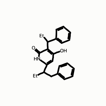 CCC(Cc1ccccc1)c1cc(O)c(C(CC)c2ccccc2)c(=O)[nH]1